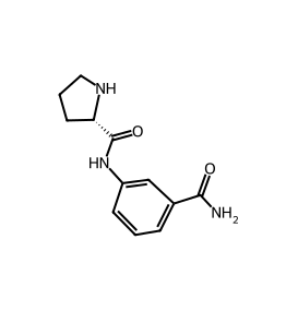 NC(=O)c1cccc(NC(=O)[C@@H]2CCCN2)c1